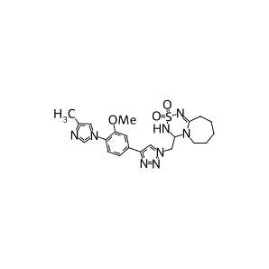 COc1cc(-c2cn(CC3NS(=O)(=O)N=C4CCCCCN43)nn2)ccc1-n1cnc(C)c1